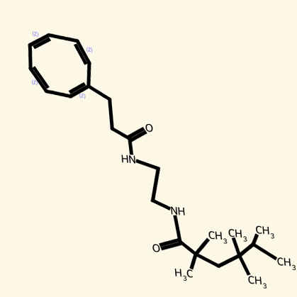 CC(C)C(C)(C)CC(C)(C)C(=O)NCCNC(=O)CCC1=C/C=C\C=C/C=C\1